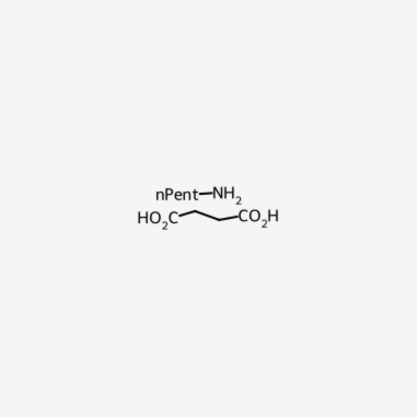 CCCCCN.O=C(O)CCC(=O)O